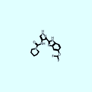 O=C(Nc1c[nH]nc1-c1nc2cc(OC(F)F)ccc2[nH]1)N1CCCCC1